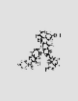 CCc1c(F)ccc2cc(O)cc(-c3c(F)cc4c(N5CCCn6nc(C(=O)N7CCCCC7)c(Cl)c6C5)nc(OC[C@@]56CCCN5C[C@H](F)C6)nc4c3F)c12